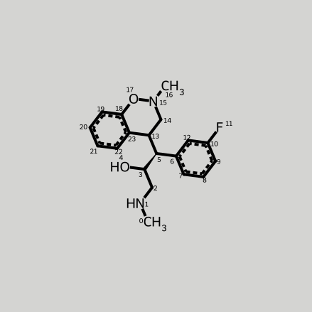 CNCC(O)[C@H](c1cccc(F)c1)C1CN(C)Oc2ccccc21